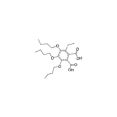 CCCCOc1c(CC)c(C(=O)O)c(C(=O)O)c(OCCCC)c1OCCCC